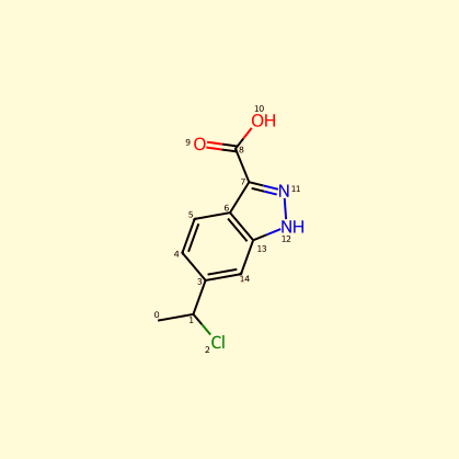 CC(Cl)c1ccc2c(C(=O)O)n[nH]c2c1